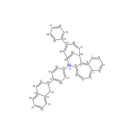 C1=CC=c2ccccc2=C2C=1N(c1ccc(C3C=Cc4ccccc4C3)cc1)C1=CC2C=CC(c2ccccc2)=C1